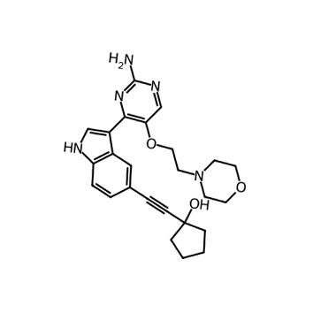 Nc1ncc(OCCN2CCOCC2)c(-c2c[nH]c3ccc(C#CC4(O)CCCC4)cc23)n1